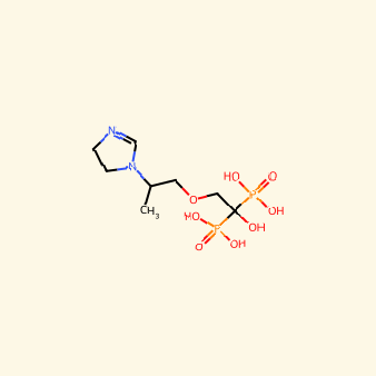 CC(COCC(O)(P(=O)(O)O)P(=O)(O)O)N1C=NCC1